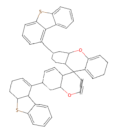 C1=CC2OC3CC(C4=CCCC5Sc6ccccc6C45)C=CC3C3(C4=CCCC=C4OC4CC(c5cccc6sc7ccccc7c56)CCC43)C2C=C1